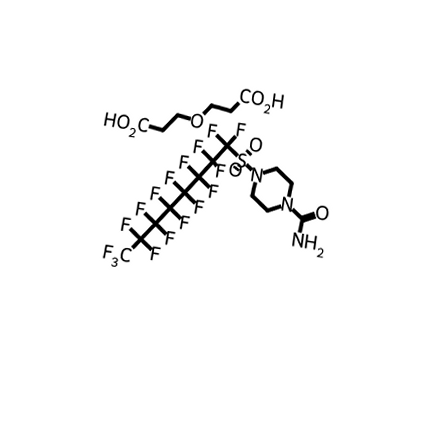 NC(=O)N1CCN(S(=O)(=O)C(F)(F)C(F)(F)C(F)(F)C(F)(F)C(F)(F)C(F)(F)C(F)(F)C(F)(F)F)CC1.O=C(O)CCOCCC(=O)O